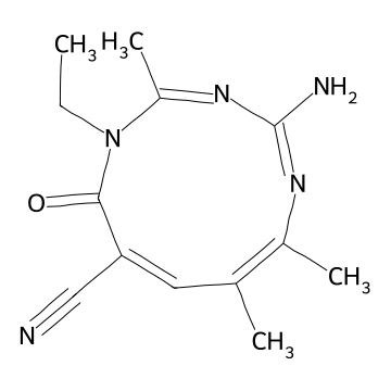 CCn1c(C)nc(N)nc(C)c(C)cc(C#N)c1=O